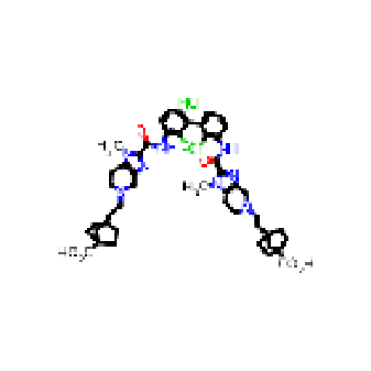 Cl.Cn1c(C(=O)Nc2cccc(-c3cccc(NC(=O)c4nc5c(n4C)CCN(CCC46CCC(C(=O)O)(CC4)C6)C5)c3Cl)c2Cl)nc2c1CCN(CCC13CCC(C(=O)O)(CC1)C3)C2